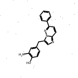 Nc1cc(Cc2cnc3ccc(-c4ccccc4)nn23)ccc1O